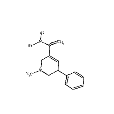 C=C(C1=CC(c2ccccc2)CN(C)C1)N(CC)CC